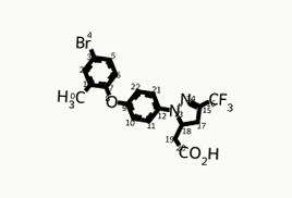 Cc1cc(Br)ccc1Oc1ccc(N2N=C(C(F)(F)F)CC2CC(=O)O)cc1